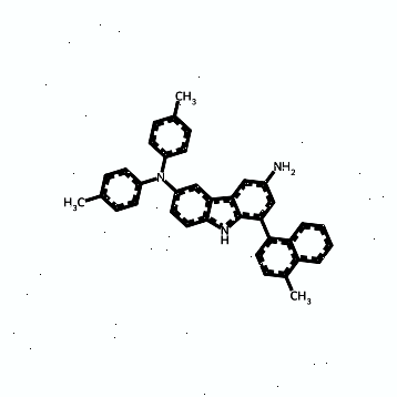 Cc1ccc(N(c2ccc(C)cc2)c2ccc3[nH]c4c(-c5ccc(C)c6ccccc56)cc(N)cc4c3c2)cc1